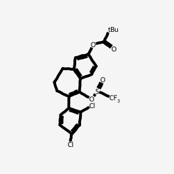 CC(C)(C)C(=O)Oc1ccc2c(c1)CCCC(c1ccc(Cl)cc1Cl)=C2OS(=O)C(F)(F)F